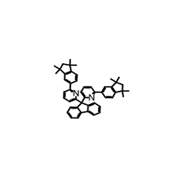 CC1(C)CC(C)(C)c2cc(-c3cccc(C4(c5cccc(-c6ccc7c(c6)C(C)(C)CC7(C)C)n5)c5ccccc5-c5ccccc54)n3)ccc21